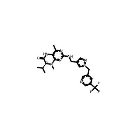 Cc1nc(NCc2cnn(Cc3cncc(C(F)(F)F)c3)c2)nc2c1NC(=O)[C@H](C(C)C)N2C